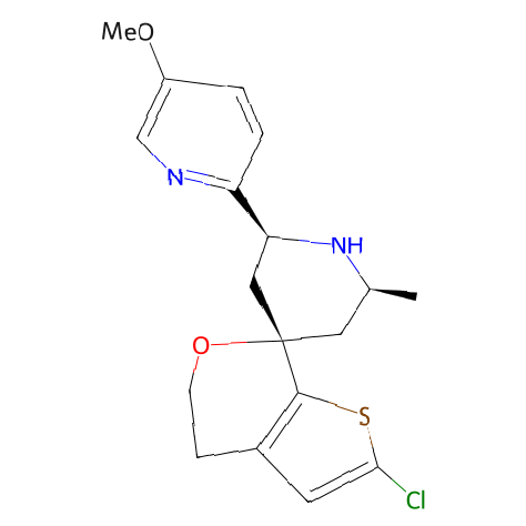 COc1ccc([C@@H]2C[C@]3(C[C@H](C)N2)OCCc2cc(Cl)sc23)nc1